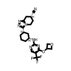 N#C[C@@H]1CCn2c(nnc2[C@H]2CCC[C@@H](Nc3ncc(C(F)(F)F)c(OC4COC4)n3)C2)C1